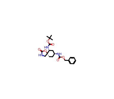 CC(C)(C)OC(=O)N[C@@H]1C[C@@H](NC(=O)OCc2ccccc2)CC[C@@]12CNC(=O)O2